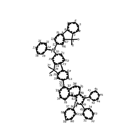 CC1(C)c2ccccc2-c2ccc(N(c3ccccc3)c3ccc4c(c3)C(C)(C)c3cc(-c5cccc6c5ccc5c(-c7ccccc7)c(-c7ccccc7)n(-c7ccccc7)c56)ccc3-4)cc21